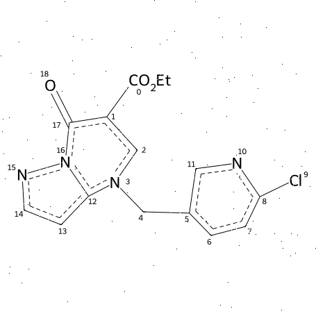 CCOC(=O)c1cn(Cc2ccc(Cl)nc2)c2ccnn2c1=O